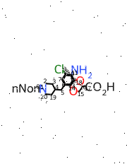 CCCCCCCCCN1CCC(Cc2cc(Cl)c(N)c3c2OCC(C(=O)O)O3)CC1